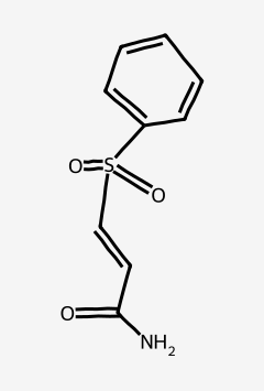 NC(=O)C=CS(=O)(=O)c1ccccc1